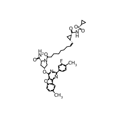 Cc1ccc2oc3c(O[C@@H]4C[C@@H](C(N)=O)N(C(=O)CCCCCC/C=C\[C@@H]5C[C@@H]5C(=O)NS(=O)(=O)C5CC5)C4)nc(-c4ccc(C)c(F)c4)nc3c2c1